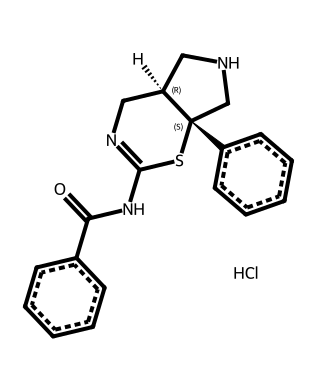 Cl.O=C(NC1=NC[C@H]2CNC[C@]2(c2ccccc2)S1)c1ccccc1